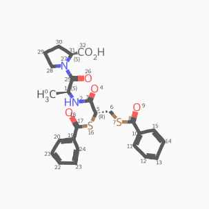 C[C@H](NC(=O)[C@H](CSC(=O)c1ccccc1)SC(=O)c1ccccc1)C(=O)N1CCC[C@H]1C(=O)O